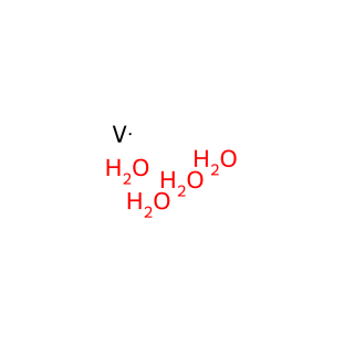 O.O.O.O.[V]